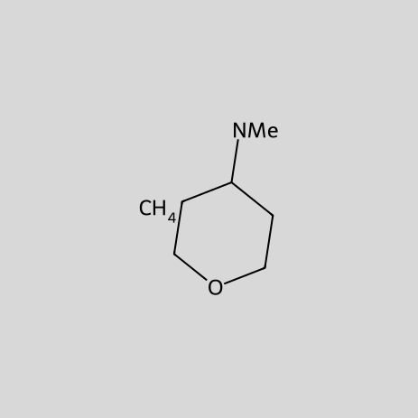 C.CNC1CCOCC1